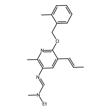 C/C=C/c1cc(/N=C/N(C)CC)c(C)nc1OCc1ccccc1C